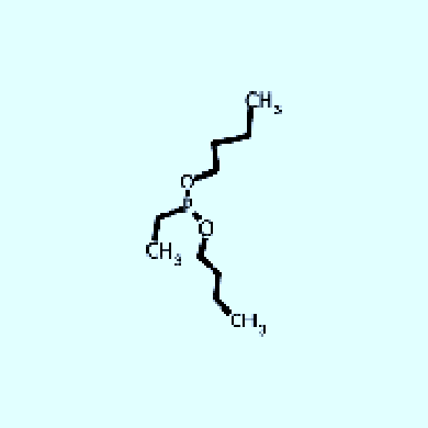 CCCCOP(CC)OCCCC